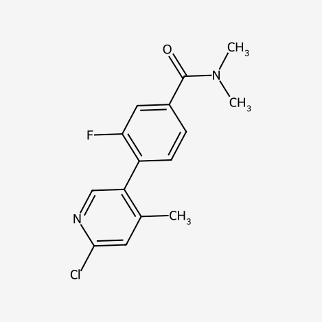 Cc1cc(Cl)ncc1-c1ccc(C(=O)N(C)C)cc1F